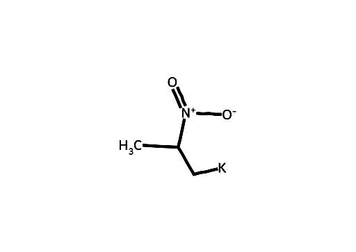 CC([CH2][K])[N+](=O)[O-]